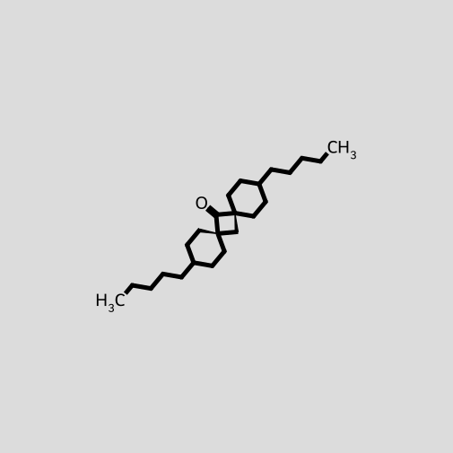 CCCCCC1CC[C@]2(CC1)C[C@@]1(CCC(CCCCC)CC1)C2=O